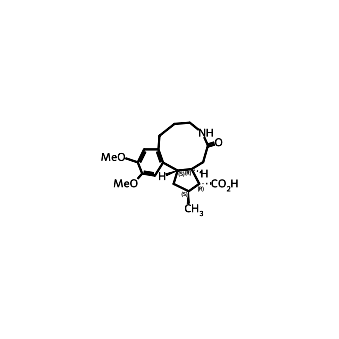 COc1cc2c(cc1OC)[C@H]1C[C@H](C)[C@@H](C(=O)O)[C@@H]1CC(=O)NCCC2